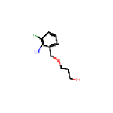 Nc1c(F)cccc1COCCCO